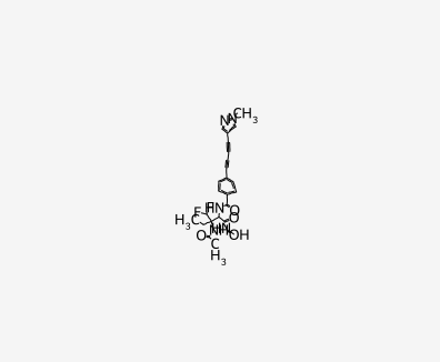 CCC(NC(C)=O)(C(F)F)C(NC(=O)c1ccc(C#CC#Cc2cnn(C)c2)cc1)C(=O)NO